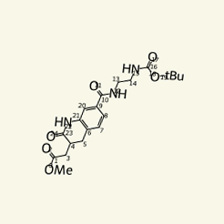 COC(=O)CC1Cc2ccc(C(=O)NCCNC(=O)OC(C)(C)C)cc2NC1=O